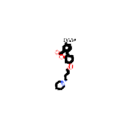 COc1ccc2c(c1)c(=O)oc1cc(OCCCCN3CCCCC3)ccc12